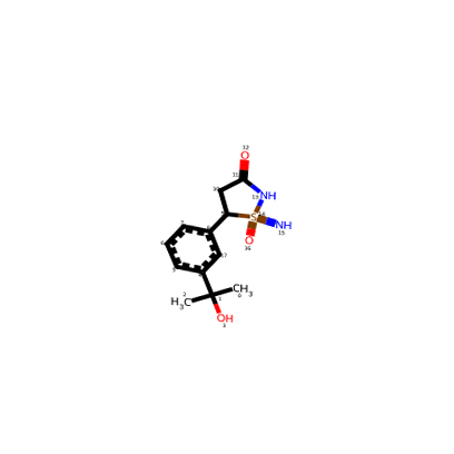 CC(C)(O)c1cccc(C2CC(=O)NS2(=N)=O)c1